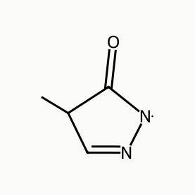 CC1C=N[N]C1=O